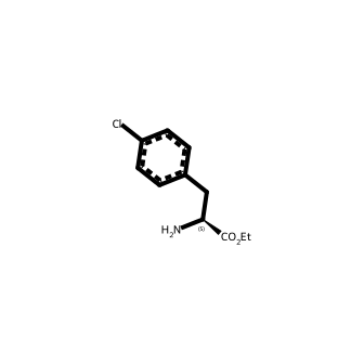 CCOC(=O)[C@@H](N)Cc1ccc(Cl)cc1